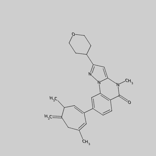 C=C1CC(C)=CC(c2ccc3c(=O)n(C)c4cc(C5CCOCC5)nn4c3c2)=CC1C